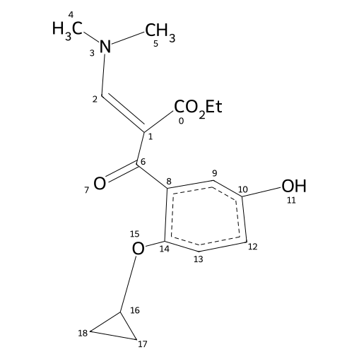 CCOC(=O)/C(=C\N(C)C)C(=O)c1cc(O)ccc1OC1CC1